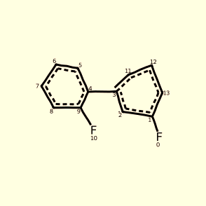 Fc1[c]c(-c2ccccc2F)ccc1